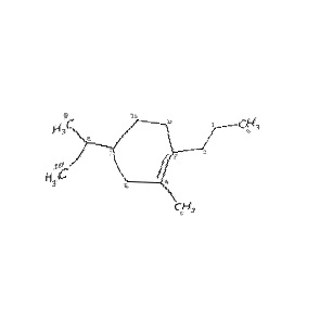 CCCC1=C(C)CC(C(C)C)CC1